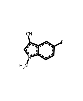 N#Cc1cn(N)c2ccc(F)cc12